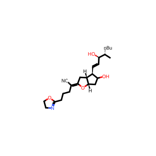 CCCC[C@H](C)[C@H](O)/C=C/[C@H]1C(O)C[C@@H]2OC(=C(C#N)CCCC3=NCCO3)C[C@@H]21